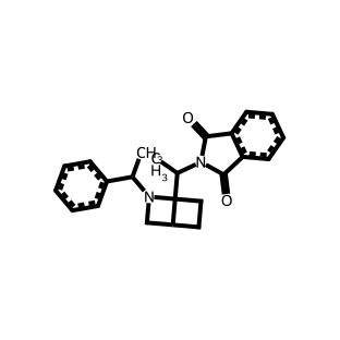 CC(c1ccccc1)N1CC2CCC21C(C)N1C(=O)c2ccccc2C1=O